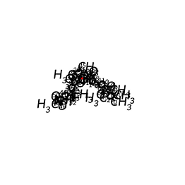 Cc1cc(C)c(N2C(=O)c3ccc(-c4ccc5c(c4)C(=O)N(Cc4c(C)cc(C)c(N6C(=O)c7ccc([C@@](C)(c8ccc9c(c8)C(=O)N(C)C9=O)C(F)(F)F)cc7C6=O)c4C)C5=O)cc3C2=O)c(C)c1C